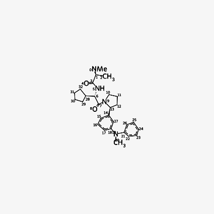 CN[C@@H](C)C(=O)N[C@H](C(=O)N1CCC[C@H]1c1cccc(N(C)c2ccccc2)c1)C1CCCC1